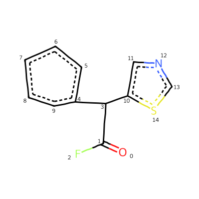 O=C(F)C(c1ccccc1)c1cncs1